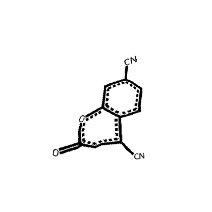 N#Cc1ccc2c(C#N)cc(=O)oc2c1